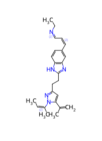 C=C(C)c1cc(CCc2nc3cc(/C=C\C=N/CC)ccc3[nH]2)nn1/C(C)=C\C